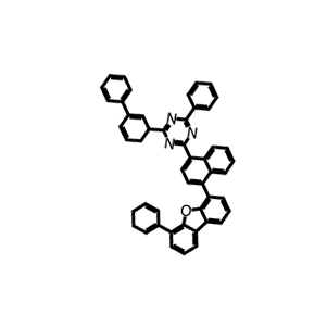 C1=CC(c2cccc3c2oc2c(-c4ccc(-c5nc(-c6ccccc6)nc(C6C=C(c7ccccc7)C=CC6)n5)c5ccccc45)cccc23)=CCC1